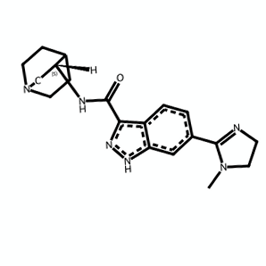 CN1CCN=C1c1ccc2c(C(=O)N[C@@H]3CN4CCC3CC4)n[nH]c2c1